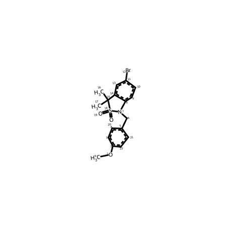 COc1ccc(CN2c3ccc(Br)cc3C(C)(C)S2(=O)=O)cc1